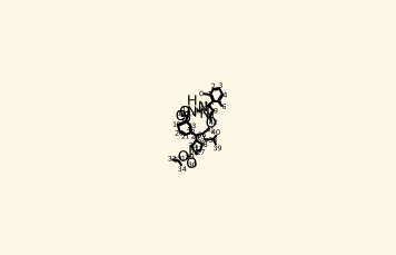 Cc1cccc(C)c1-c1cc2nc(n1)NS(=O)(=O)c1cccc(c1)C(C1CCN(C(=O)OC(C)C)C1)[C@H](CC(C)C)CO2